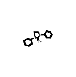 [Te]=C1N(c2ccccc2)CCN1c1ccccc1